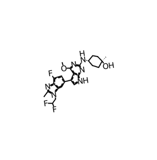 COc1nc(N[C@H]2CC[C@](C)(O)CC2)nc2[nH]cc(-c3cc(F)c4nc(C)n(CC(F)F)c4c3)c12